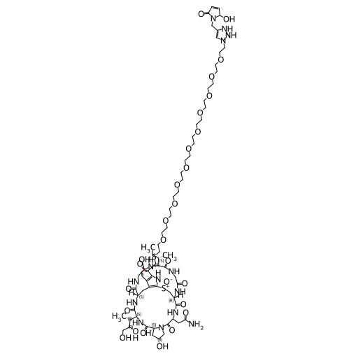 CC[C@H](C)[C@@H]1NC(=O)CNC(=O)[C@@H]2Cc3c([nH]c4c(CSCCOCCOCCOCCOCCOCCOCCOCCOCCOCCOCCOCCN5C=C(CN6C(=O)C=CC6O)NN5)c(O)ccc34)[S+]([O-])C[C@H](NC(=O)CNC1=O)C(=O)NC(CC(N)=O)C(=O)N1C[C@H](O)C[C@H]1C(=O)N[C@@H]([C@@H](C)[C@@H](O)CO)C(=O)N2